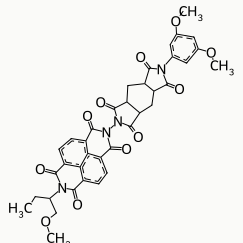 CCC(COC)N1C(=O)c2ccc3c4c(ccc(c24)C1=O)C(=O)N(N1C(=O)C2CC4C(=O)N(c5cc(OC)cc(OC)c5)C(=O)C4CC2C1=O)C3=O